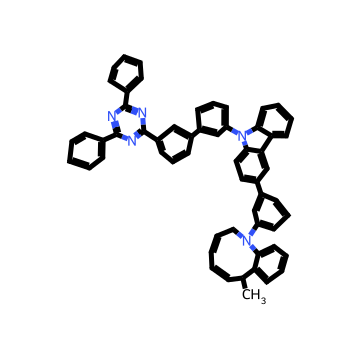 CC1/C=C\C=C/CN(c2cccc(-c3ccc4c(c3)c3ccccc3n4-c3cccc(-c4cccc(-c5nc(-c6ccccc6)nc(-c6ccccc6)n5)c4)c3)c2)c2ccccc21